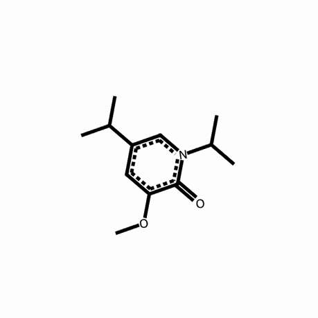 COc1cc(C(C)C)cn(C(C)C)c1=O